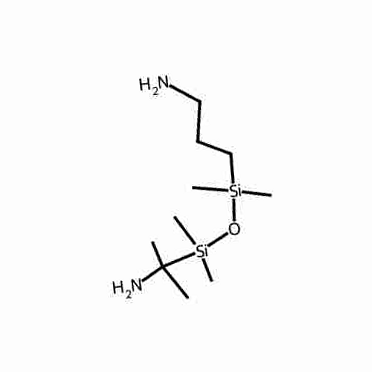 CC(C)(N)[Si](C)(C)O[Si](C)(C)CCCN